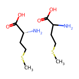 CSCCC(N)C(=O)O.CSCC[C@@H](N)C(=O)O